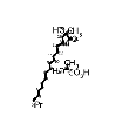 CC(C)CCCCCCCCCCCCCCCC(C)(O)[C](=O)[Na].CC(O)C(=O)O